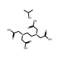 CC(C)O.O=C(O)CN(CCN(CC(=O)O)CC(=O)O)CC(=O)O